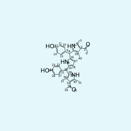 CC(=O)c1c(C)[nH]c(C(c2ccc(O)cc2)c2ccc(C(c3ccc(O)cc3)c3[nH]c(C)c(C(C)=O)c3C)[nH]2)c1C